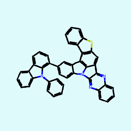 c1ccc(-n2c3ccccc3c3cccc(-c4ccc5c(c4)c4c6c(cc7c8nc9ccccc9nc8n5c74)sc4ccccc46)c32)cc1